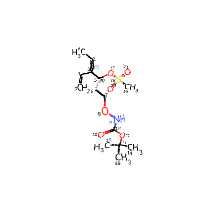 C=C/C(=C\C)[C@@H](CCONC(=O)OC(C)(C)C)OS(C)(=O)=O